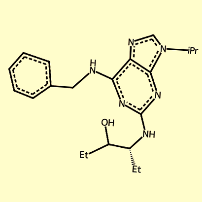 CCC(O)[C@@H](CC)Nc1nc(NCc2ccccc2)c2ncn(C(C)C)c2n1